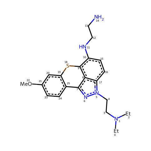 CCN(CC)CCn1nc2c3c(c(NCCN)ccc31)Sc1cc(OC)ccc1-2